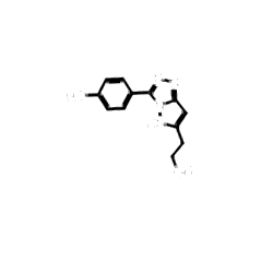 OCCc1cc2nnc(-c3ccc(O)cc3)n2[nH]1